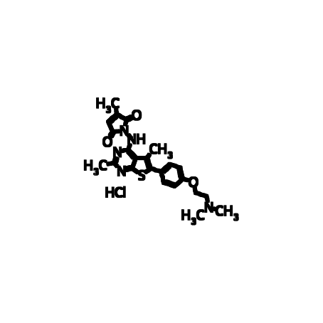 CC1=CC(=O)N(Nc2nc(C)nc3sc(-c4ccc(OCCN(C)C)cc4)c(C)c23)C1=O.Cl